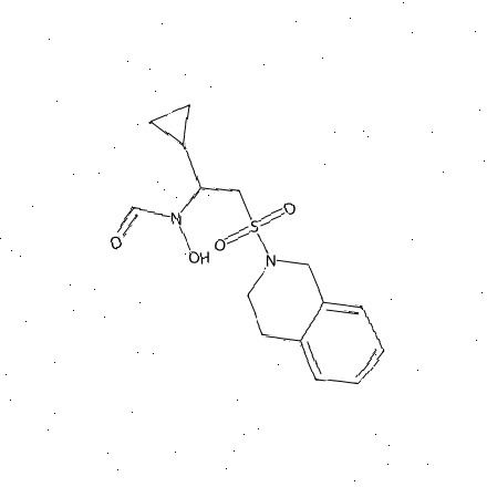 O=CN(O)C(CS(=O)(=O)N1CCc2ccccc2C1)C1CC1